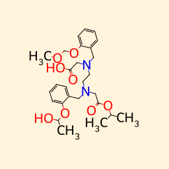 COCOc1ccccc1CN(CCN(CC(=O)OC(C)C)Cc1ccccc1OC(C)O)CC(=O)O